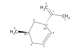 C=C(C)[C@@H]1C=CC[C@@H](C)C1